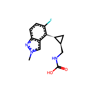 Cn1cc2c([C@@H]3C[C@H]3CNC(=O)O)c(F)ccc2n1